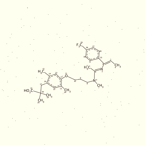 C/C=C(\N=C(/C)N(C)CCCOc1cc(C)c(CC(C)(C)C(=O)O)cc1C)c1ccc(C(F)(F)F)cc1